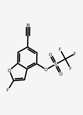 N#Cc1cc(OS(=O)(=O)C(F)(F)F)c2cc(F)oc2c1